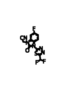 N#CCn1c(=O)n(-c2nnc(C(F)F)s2)c2ccc(F)cc21